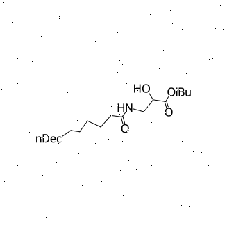 CCCCCCCCCCCCCCCC(=O)NCC(O)C(=O)OCC(C)C